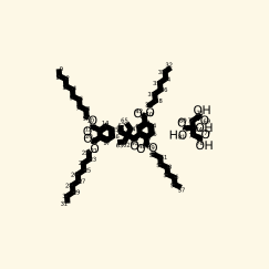 CCCCCCCCCCOC(=O)c1ccccc1C(=O)OCCCCCCCCCC.CCCCCCCCOC(=O)c1ccc(C(=O)OCCCCCCCC)c(C(=O)C(CC)(CC)CC)c1.O=C(O)CC(O)(CC(=O)O)C(=O)O